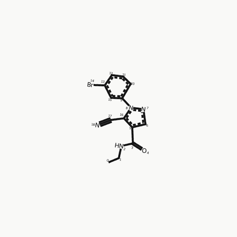 CCNC(=O)c1cnn(-c2cccc(Br)c2)c1C#N